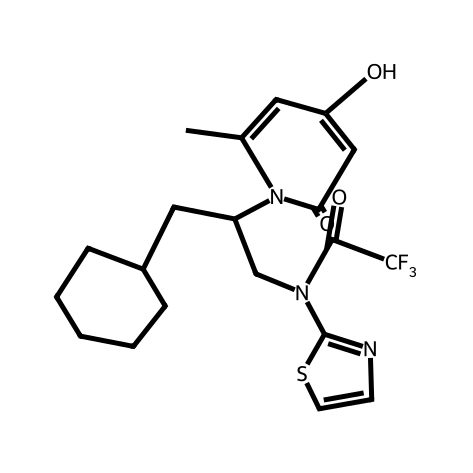 Cc1cc(O)cc(=O)n1C(CC1CCCCC1)CN(C(=O)C(F)(F)F)c1nccs1